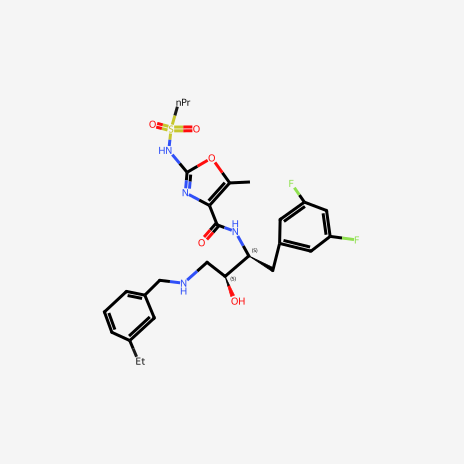 CCCS(=O)(=O)Nc1nc(C(=O)N[C@@H](Cc2cc(F)cc(F)c2)[C@@H](O)CNCc2cccc(CC)c2)c(C)o1